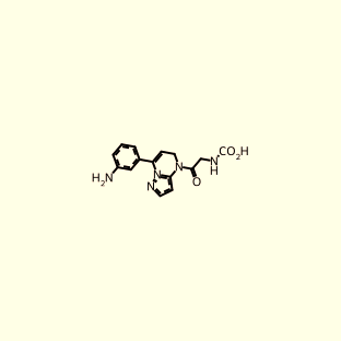 Nc1cccc(C2=CCN(C(=O)CNC(=O)O)c3ccnn32)c1